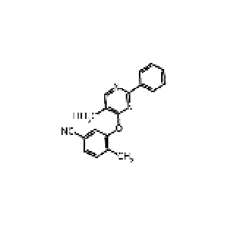 Cc1ccc(C#N)cc1Oc1nc(-c2ccccc2)ncc1C(=O)O